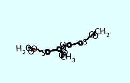 C=CC(=O)OCCCCSc1ccc(C#Cc2ccc(C(=O)Nc3ccc(C#Cc4ccc(SCCCCOC(=O)C=C)cc4)cc3C(=O)OC)cc2)cc1